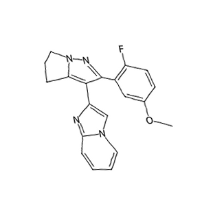 COc1ccc(F)c(-c2nn3c(c2-c2cn4ccccc4n2)CCC3)c1